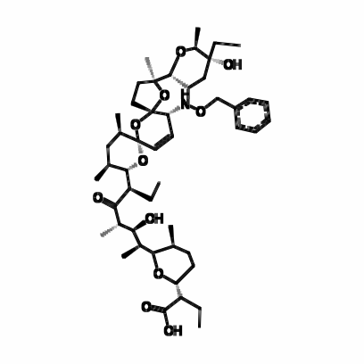 CCC(C(=O)O)[C@H]1CC[C@H](C)C([C@@H](C)[C@H](O)[C@H](C)C(=O)[C@H](CC)[C@H]2O[C@]3(C=C[C@@H](NOCc4ccccc4)[C@]4(CC[C@@](C)([C@H]5CC[C@](O)(CC)[C@H](C)O5)O4)O3)[C@H](C)C[C@@H]2C)O1